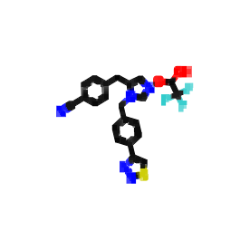 N#Cc1ccc(Cc2cncn2Cc2ccc(-c3csnn3)cc2)cc1.O=C(O)C(F)(F)F